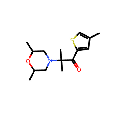 Cc1csc(C(=O)C(C)(C)N2CC(C)OC(C)C2)c1